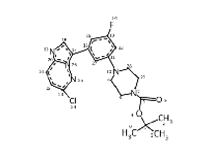 CC(C)(C)OC(=O)N1CCN(c2cc(F)cc(-c3cnc4ccc(Cl)nn34)c2)CC1